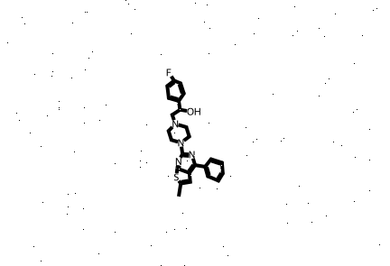 Cc1cc2c(-c3ccccc3)nc(N3CCN(CC(O)c4ccc(F)cc4)CC3)nc2s1